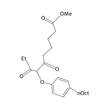 C[CH]C(=O)C(Oc1ccc(CCCCCCCC)cc1)C(=O)CCCCC(=O)OC